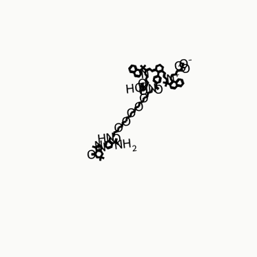 Cc1nn(-c2ccc(C(N)=O)c(NCCCOCCOCCOCCOCCOCCCNC(=O)c3ccc(C4=C(/C=C/C5=[N+](CCCCS(=O)(=O)[O-])c6c(ccc7ccccc67)C5(C)C)CCC/C4=C\C=C4/N(CCCCS(=O)(=O)O)c5ccc6ccccc6c5C4(C)C)cc3)c2)c2c1C(=O)CC(C)(C)C2